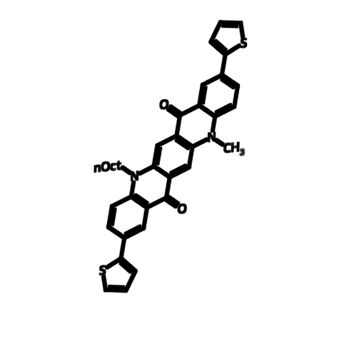 CCCCCCCCn1c2ccc(-c3cccs3)cc2c(=O)c2cc3c(cc21)c(=O)c1cc(-c2cccs2)ccc1n3C